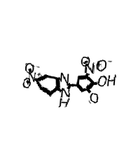 COc1cc(-c2nc3cc([N+](=O)[O-])ccc3[nH]2)cc([N+](=O)[O-])c1O